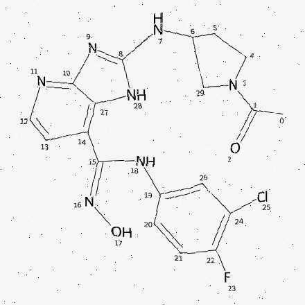 CC(=O)N1CCC(Nc2nc3nccc(/C(=N/O)Nc4ccc(F)c(Cl)c4)c3[nH]2)C1